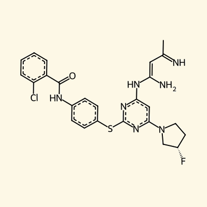 CC(=N)/C=C(\N)Nc1cc(N2CC[C@H](F)C2)nc(Sc2ccc(NC(=O)c3ccccc3Cl)cc2)n1